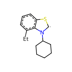 CCc1cccc2c1N(C1CCCCC1)[CH]S2